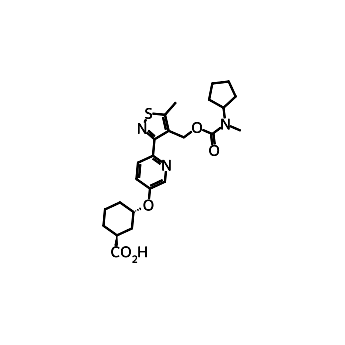 Cc1snc(-c2ccc(O[C@H]3CCC[C@H](C(=O)O)C3)cn2)c1COC(=O)N(C)C1CCCC1